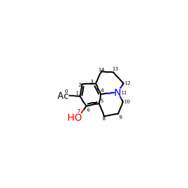 CC(=O)c1cc2c3c(c1O)CCCN3CCC2